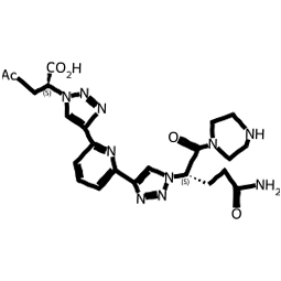 CC(=O)C[C@@H](C(=O)O)n1cc(-c2cccc(-c3cn([C@@H](CCC(N)=O)C(=O)N4CCNCC4)nn3)n2)nn1